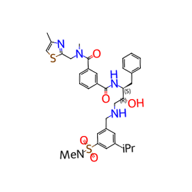 CNS(=O)(=O)c1cc(CNC[C@@H](O)[C@H](Cc2ccccc2)NC(=O)c2cccc(C(=O)N(C)Cc3nc(C)cs3)c2)cc(C(C)C)c1